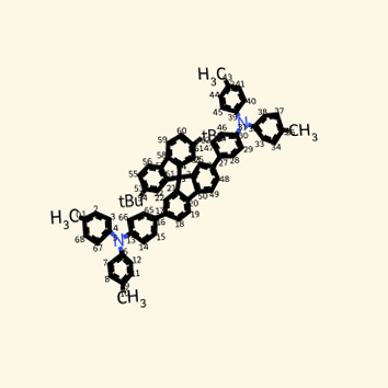 Cc1ccc(N(c2ccc(C)cc2)c2ccc(-c3ccc4c(c3)C3(c5cc(-c6ccc(N(c7ccc(C)cc7)c7ccc(C)cc7)cc6)ccc5-4)c4cc(C(C)(C)C)ccc4-c4ccc(C(C)(C)C)cc43)cc2)cc1